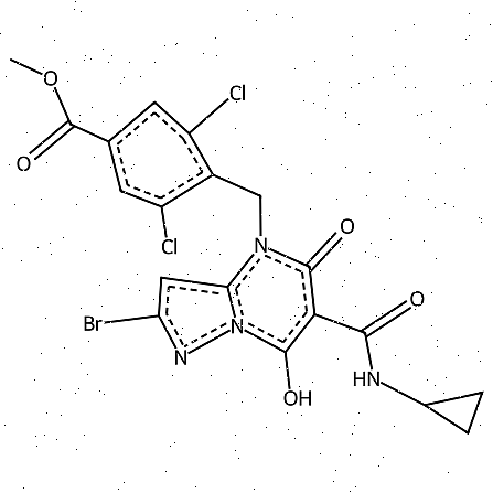 COC(=O)c1cc(Cl)c(Cn2c(=O)c(C(=O)NC3CC3)c(O)n3nc(Br)cc23)c(Cl)c1